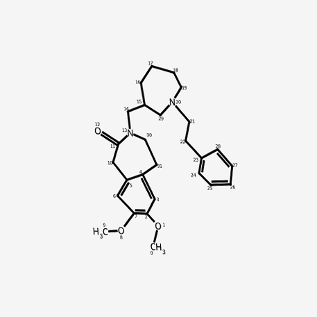 COc1cc2c(cc1OC)CC(=O)N(CC1CCCCN(CCc3ccccc3)C1)CC2